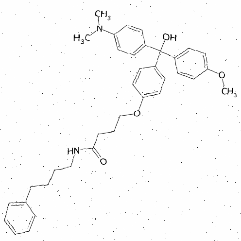 COc1ccc(C(O)(c2ccc(OCCCC(=O)NCCCCc3ccccc3)cc2)c2ccc(N(C)C)cc2)cc1